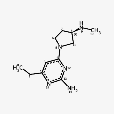 CCc1cc(N2CC[C@@H](NC)C2)nc(N)n1